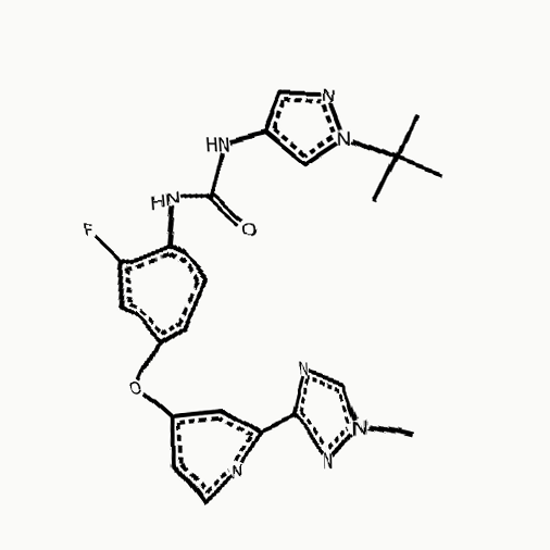 Cn1cnc(-c2cc(Oc3ccc(NC(=O)Nc4cnn(C(C)(C)C)c4)c(F)c3)ccn2)n1